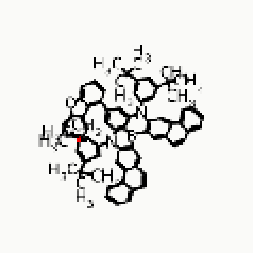 CC(C)(C)c1cc(N2c3cc4c(ccc5ccccc54)cc3B3c4cc5ccc6ccccc6c5cc4N(c4cc(C(C)(C)C)cc(C(C)(C)C)c4)c4cc(-c5cccc6oc7ccccc7c56)cc2c43)cc(C(C)(C)C)c1